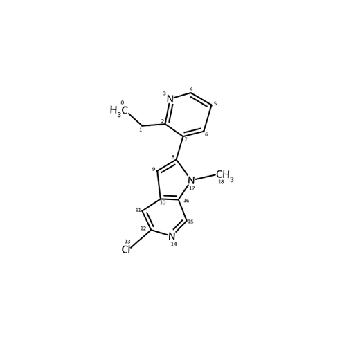 CCc1ncccc1-c1cc2cc(Cl)ncc2n1C